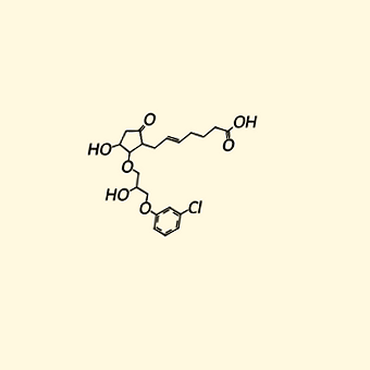 O=C(O)CCC/C=C/CC1C(=O)CC(O)C1OCC(O)COc1cccc(Cl)c1